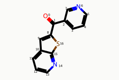 O=C(c1cccnc1)c1cc2cccnc2s1